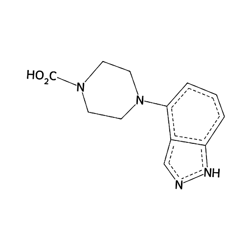 O=C(O)N1CCN(c2cccc3[nH]ncc23)CC1